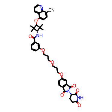 CC1(C)[C@H](NC(=O)c2cccc(OCCCOCCCOc3ccc4c(c3)C(=O)N(C3CCC(=O)NC3=O)C4=O)c2)C(C)(C)[C@H]1Oc1ccc(C#N)c2ncccc12